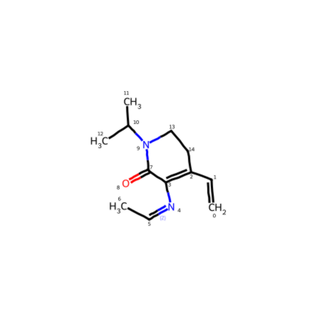 C=CC1=C(/N=C\C)C(=O)N(C(C)C)CC1